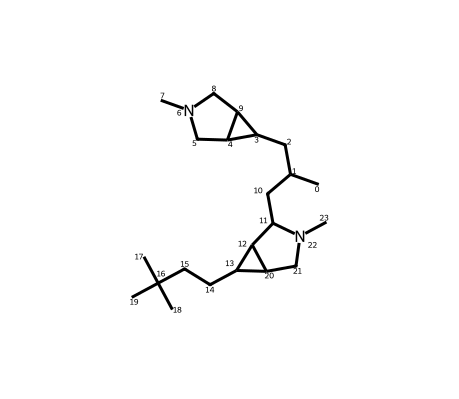 CC(CC1C2CN(C)CC12)CC1C2C(CCC(C)(C)C)C2CN1C